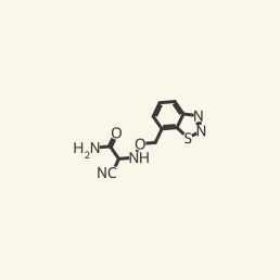 N#CC(NOCc1cccc2nnsc12)C(N)=O